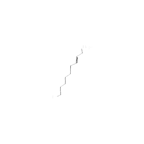 CCCCCCCCC=CCCCCCC[C](C)C